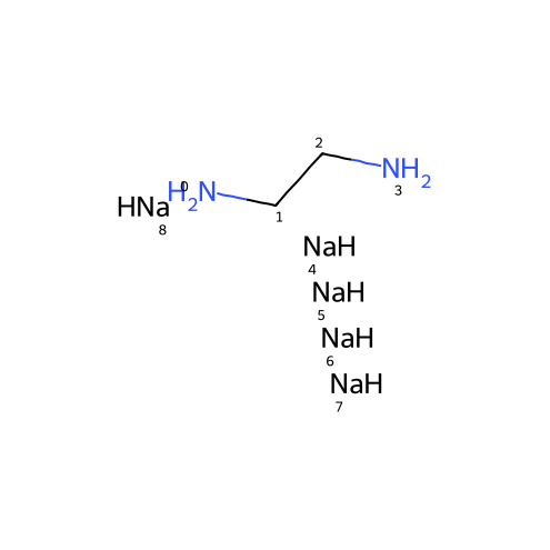 NCCN.[NaH].[NaH].[NaH].[NaH].[NaH]